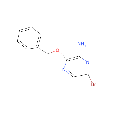 Nc1nc(Br)cnc1OCc1ccccc1